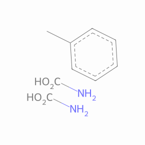 Cc1ccccc1.NC(=O)O.NC(=O)O